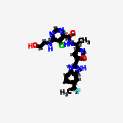 CC(F)c1ccc2nc(-c3cc([C@H](C)NC(=O)c4ncnc(NCCO)c4Cl)no3)[nH]c2c1